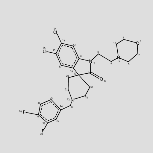 O=C1N(CCN2CCOCC2)c2cc(Cl)c(Cl)cc2C12CCN(Cc1ccc(F)c(F)c1)CC2